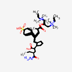 CCC(CC(C(=O)O)C1CCCC1CC(CC(C)C(=O)OC(C[N+](C)(C)CC)C[N+](C)(C)CC)c1ccc(S(=O)(=O)O)cc1)C(N)=O